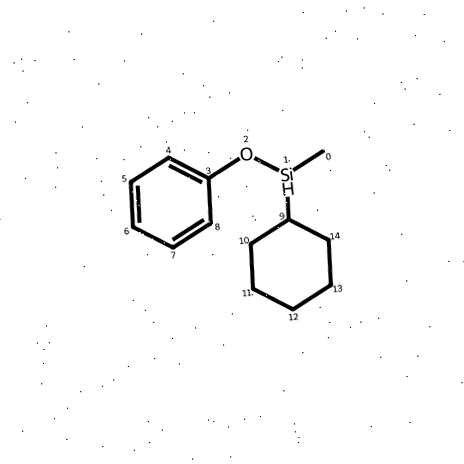 C[SiH](Oc1ccccc1)C1CCCCC1